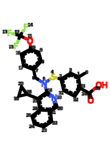 Cc1cc(SN(Cc2ccc(OC(F)(F)F)cc2)c2ncc3ccccc3c2C2CC2)ccc1C(=O)O